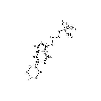 C[Si](C)(C)CCOCn1ccc2cc(N3CCSCC3)cnc21